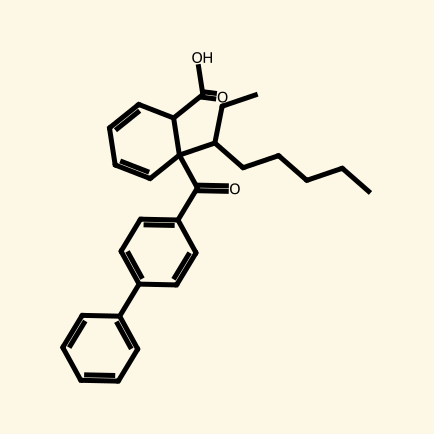 CCCCCC(CC)C1(C(=O)c2ccc(-c3ccccc3)cc2)C=CC=CC1C(=O)O